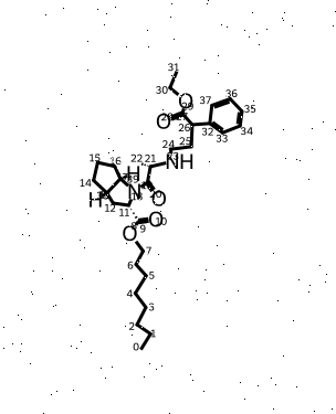 CCCCCCCCOC(=O)[C@@H]1C[C@@H]2CCC[C@@H]2N1C(=O)[C@H](C)NCCC(C(=O)OCC)c1ccccc1